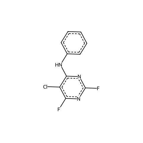 Fc1nc(F)c(Cl)c(Nc2ccccc2)n1